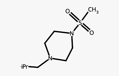 C[C](C)CN1CCN(S(C)(=O)=O)CC1